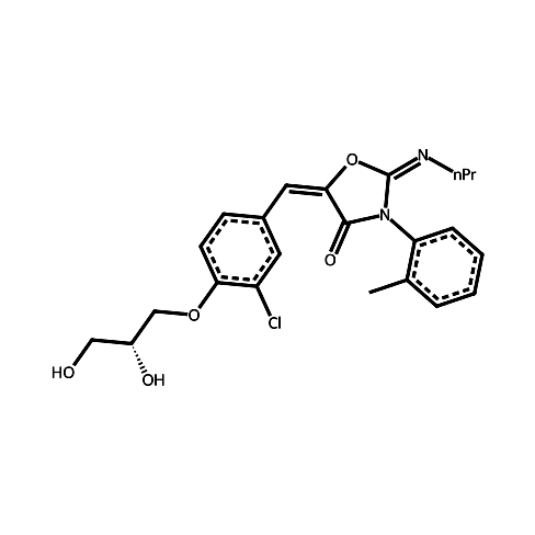 CCC/N=C1/O/C(=C/c2ccc(OC[C@H](O)CO)c(Cl)c2)C(=O)N1c1ccccc1C